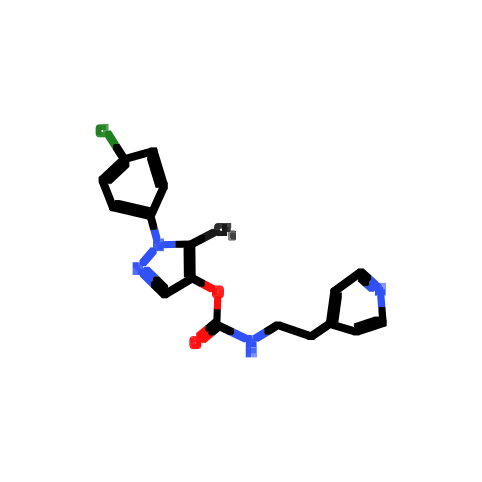 O=C(NCCc1ccncc1)Oc1cnn(-c2ccc(Cl)cc2)c1C(F)(F)F